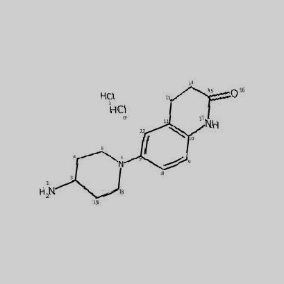 Cl.Cl.NC1CCN(c2ccc3c(c2)CCC(=O)N3)CC1